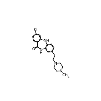 CN1CCN(CCc2ccc3c(c2)NC(=O)c2ccc(Cl)cc2N3)CC1